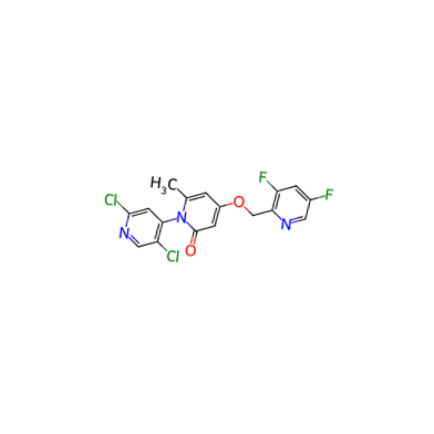 Cc1cc(OCc2ncc(F)cc2F)cc(=O)n1-c1cc(Cl)ncc1Cl